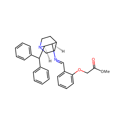 COC(=O)COc1ccccc1C=N[C@@H]1C2CCN(CC2)[C@@H]1C(c1ccccc1)c1ccccc1